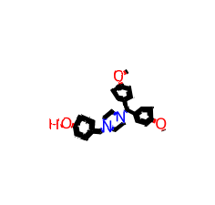 COc1ccc(C(c2ccc(OC)cc2)N2CCN(Cc3ccc(O)cc3)CC2)cc1